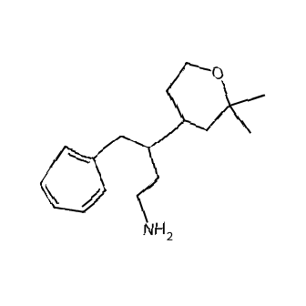 CC1(C)CC(C(CCN)Cc2ccccc2)CCO1